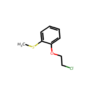 CSc1ccccc1OCCCl